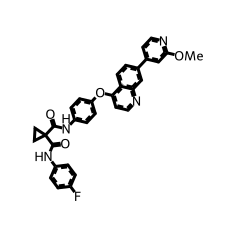 COc1cc(-c2ccc3c(Oc4ccc(NC(=O)C5(C(=O)Nc6ccc(F)cc6)CC5)cc4)ccnc3c2)ccn1